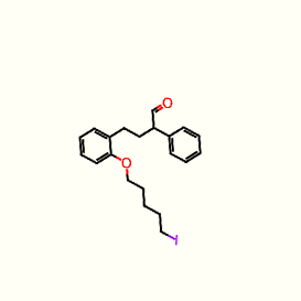 O=CC(CCc1ccccc1OCCCCCI)c1ccccc1